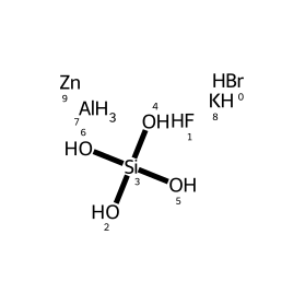 Br.F.O[Si](O)(O)O.[AlH3].[KH].[Zn]